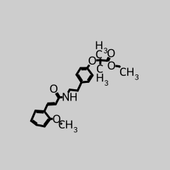 CCOC(=O)C(C)(C)Oc1ccc(CCNC(=O)C=Cc2ccccc2OC)cc1